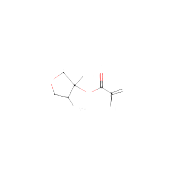 C=C(C)C(=O)OC1(C)COCC1OC